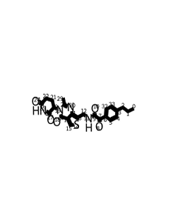 CCCc1ccc(C(=O)C(=O)NCc2scc3c(=O)n(C4CCC(=O)NC4=O)c(C)nc23)cc1